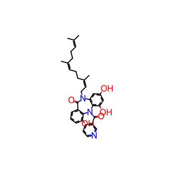 CC(C)=CCCC(C)=CCCC(C)=CCN1C(=O)c2cccc(O)c2N(C(=O)c2cccnc2)c2c(O)cc(O)cc21